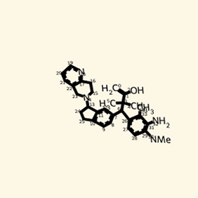 C=C(O)C(C)(C)C(c1ccc2c(c1)C(N1CCc3ncccc3C1)CC2)c1ccc(NC)c(N)c1C